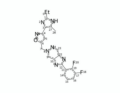 CCc1nc(-c2cc(Cn3cc4nc(-c5cccc(F)c5F)nc-4cn3)on2)c(C)[nH]1